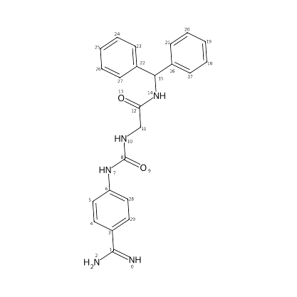 N=C(N)c1ccc(NC(=O)NCC(=O)NC(c2ccccc2)c2ccccc2)cc1